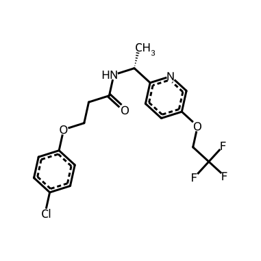 C[C@@H](NC(=O)CCOc1ccc(Cl)cc1)c1ccc(OCC(F)(F)F)cn1